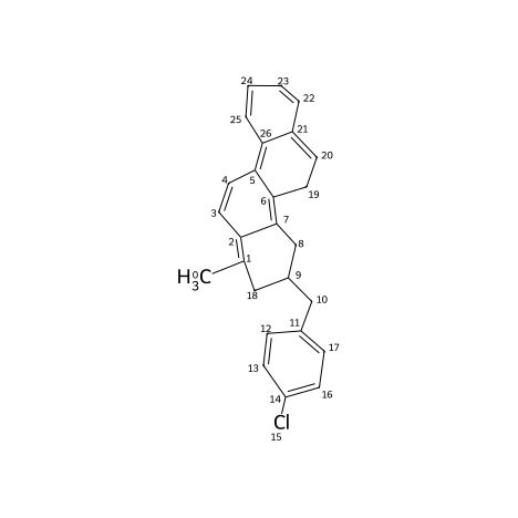 CC1=c2ccc3c(c2CC(Cc2ccc(Cl)cc2)C1)CC=c1ccccc1=3